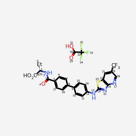 CC[C@H](NC(=O)c1ccc(-c2ccc(Nc3nc4ncc(C(F)(F)F)cc4s3)cc2)cc1)C(=O)O.O=C(O)C(F)(F)F